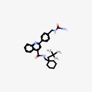 CC(C)(C)[CH]C1(CNC(=O)c2cc(-c3ccc(CNC(N)=O)cc3)nc3ccccc23)CCCCC1